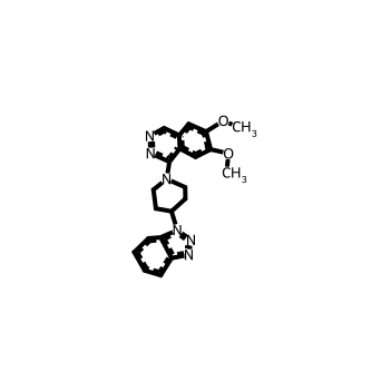 COc1cc2cnnc(N3CCC(n4nnc5ccccc54)CC3)c2cc1OC